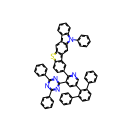 c1ccc(-c2nc(-c3ccccc3)nc(-c3cc(-c4c(-c5ccccc5)cccc4-c4ccccc4)cnc3-c3ccc4sc5cc6c7ccccc7n(-c7ccccc7)c6cc5c4c3)n2)cc1